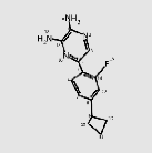 Nc1ncc(-c2ccc(C3CCC3)cc2F)nc1N